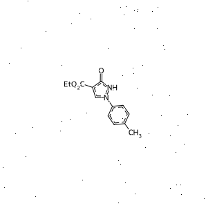 CCOC(=O)c1cn(-c2ccc(C)cc2)[nH]c1=O